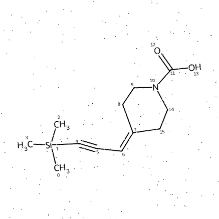 C[Si](C)(C)C#CC=C1CCN(C(=O)O)CC1